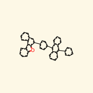 c1ccc(-c2c3ccccc3c(-c3ccc(-c4cc5ccccc5c5c4oc4ccccc45)cc3)c3ccccc23)cc1